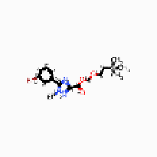 CCn1nc(C(=O)OCOCC[Si](C)(C)C)nc1-c1cccc(Br)c1